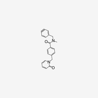 CN(Cc1cc#ccc1)C(=O)c1ccc(Cn2ccccc2=O)cc1